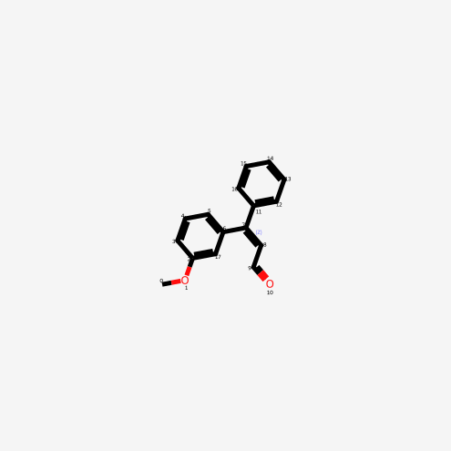 COc1cccc(/C(=C\C=O)c2ccccc2)c1